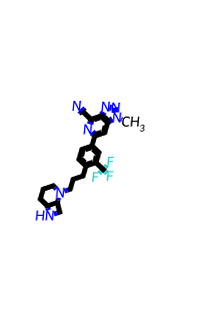 Cn1nnc2c(C#N)nc(-c3ccc(CCCN4CCCC5NCC54)c(C(F)(F)F)c3)cc21